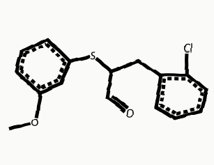 COc1cccc(SC(C=O)Cc2ccccc2Cl)c1